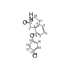 O=C1Cc2c(cccc2Oc2ccc(Cl)cc2)CCN1